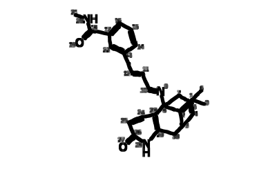 C/C=C1\C2C=C(C)CC1(/N=C/C=C/c1cccc(C(=O)NC)c1)c1ccc(=O)[nH]c1C2